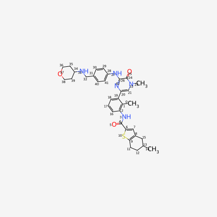 Cc1c(NC(=O)c2cc3c(s2)CCC(C)C3)cccc1-c1cn(C)c(=O)c(Nc2ccc(CNC3CCOCC3)cc2)n1